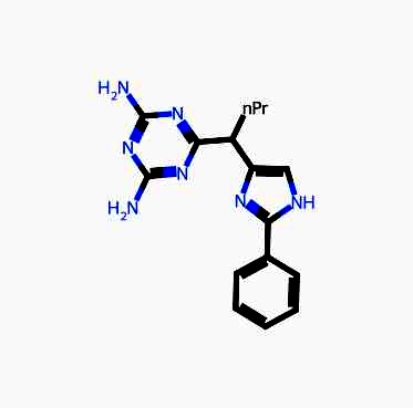 CCCC(c1c[nH]c(-c2ccccc2)n1)c1nc(N)nc(N)n1